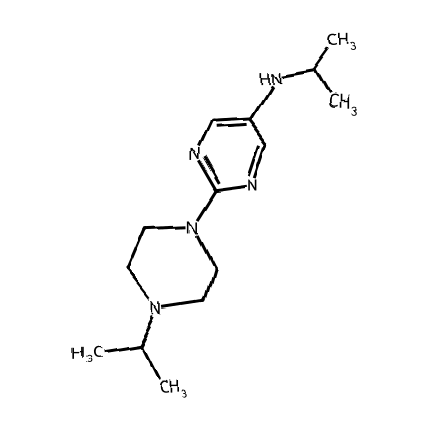 CC(C)Nc1cnc(N2CCN(C(C)C)CC2)nc1